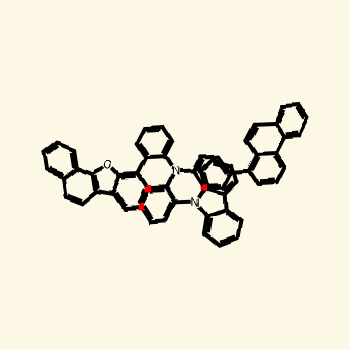 c1ccc(N(c2ccc(-c3cccc4c3ccc3ccccc34)cc2)c2ccccc2-n2c3ccccc3c3ccccc32)c(-c2cccc3c2oc2c4ccccc4ccc32)c1